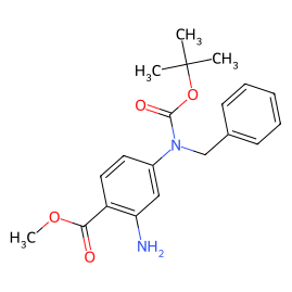 COC(=O)c1ccc(N(Cc2ccccc2)C(=O)OC(C)(C)C)cc1N